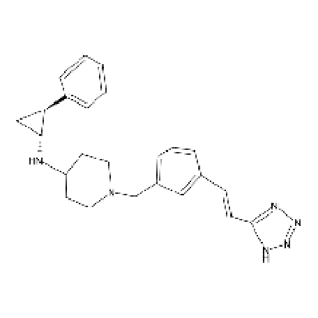 C(=Cc1nnn[nH]1)c1cccc(CN2CCC(N[C@@H]3C[C@H]3c3ccccc3)CC2)c1